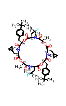 C[C@H]1OC(=O)[C@H](CC2CC2)N(C)C(=O)[C@@H](Cc2ccc(C(C)(C)C)cc2)OC(=O)[C@H](CC(C)(C)F)N(C)C(=O)[C@@H](C)OC(=O)[C@H](CC2CC2)N(C)C(=O)[C@@H](Cc2ccc(C(C)(C)C)cc2)OC(=O)C(CC(C)(C)F)N(C)C1=O